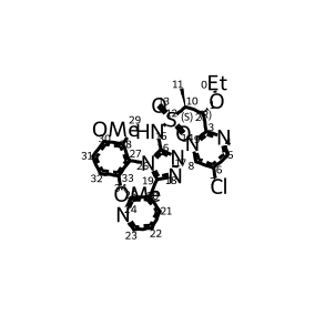 CCO[C@H](c1ncc(Cl)cn1)[C@H](C)S(=O)(=O)Nc1nnc(-c2cccnc2)n1-c1c(OC)cccc1OC